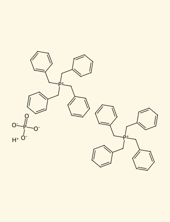 O=P([O-])([O-])[O-].[H+].c1ccc(C[P+](Cc2ccccc2)(Cc2ccccc2)Cc2ccccc2)cc1.c1ccc(C[P+](Cc2ccccc2)(Cc2ccccc2)Cc2ccccc2)cc1